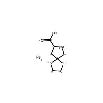 Br.O=C(O)C1CC2(CN1)SCCS2